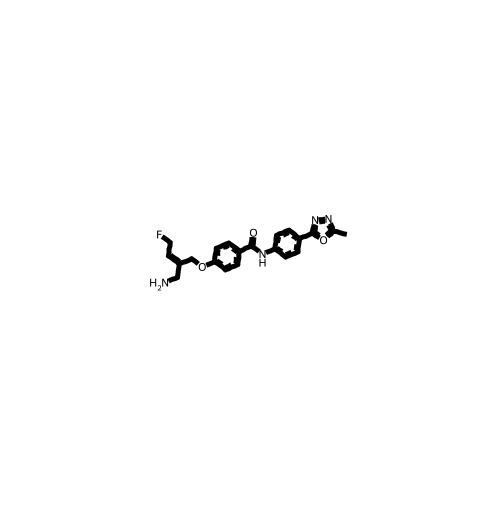 Cc1nnc(-c2ccc(NC(=O)c3ccc(OC/C(=C\CF)CN)cc3)cc2)o1